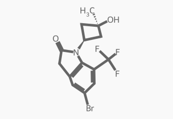 C[C@]1(O)C[C@@H](N2C(=O)Cc3cc(Br)cc(C(F)(F)F)c32)C1